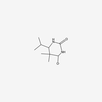 CC(C)C1NC(=O)NC([O])C1(C)C